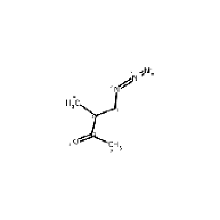 CC(=O)C(C)CN=[N+]=[N-]